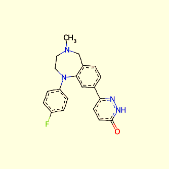 CN1CCN(c2ccc(F)cc2)c2cc(-c3ccc(=O)[nH]n3)ccc2C1